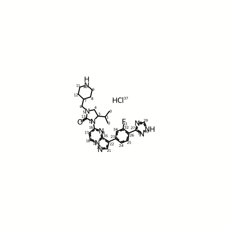 CC(C)C1CN(CC2CCNCC2)C(=O)N1c1ccn2ncc(-c3ccc(-c4nc[nH]n4)c(F)c3)c2n1.Cl